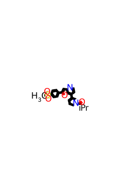 CC(C)C(=O)N1CCC=C(c2ccnc3cc(-c4ccc(S(C)(=O)=O)cc4)oc23)C1